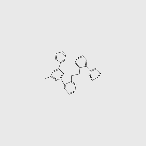 Cc1cc(-c2ccccc2)cc(-c2ccccc2CCc2ccccc2-c2ccccn2)n1